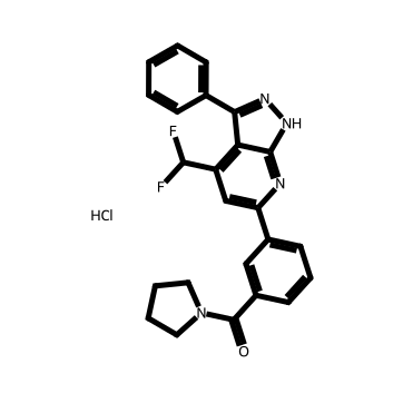 Cl.O=C(c1cccc(-c2cc(C(F)F)c3c(-c4ccccc4)n[nH]c3n2)c1)N1CCCC1